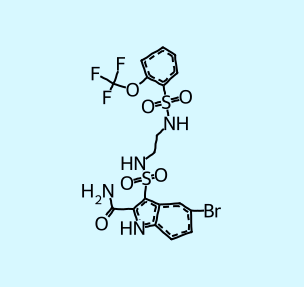 NC(=O)c1[nH]c2ccc(Br)cc2c1S(=O)(=O)NCCNS(=O)(=O)c1ccccc1OC(F)(F)F